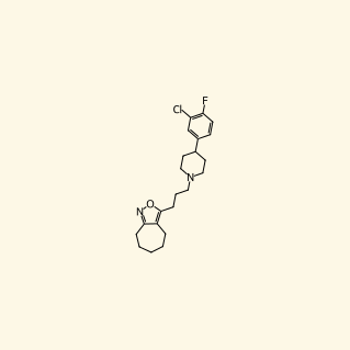 Fc1ccc(C2CCN(CCCc3onc4c3CCCCC4)CC2)cc1Cl